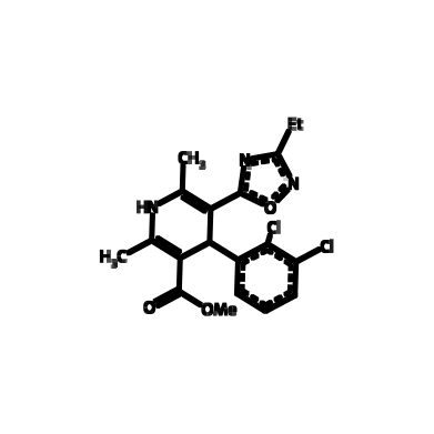 CCc1noc(C2=C(C)NC(C)=C(C(=O)OC)C2c2cccc(Cl)c2Cl)n1